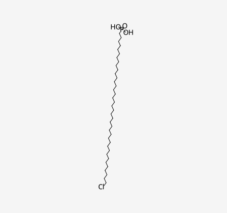 O=P(O)(O)CCCCCCCCCCCCCCCCCCCCCCCCCCCCCCCCCCCCCCCl